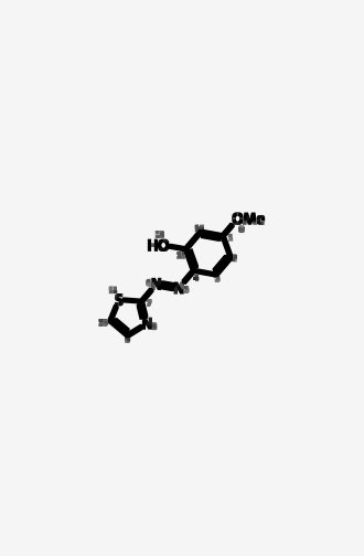 COc1ccc(N=Nc2nccs2)c(O)c1